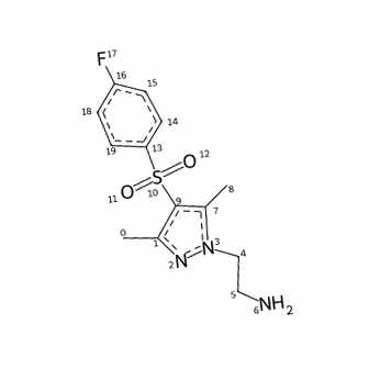 Cc1nn(CCN)c(C)c1S(=O)(=O)c1ccc(F)cc1